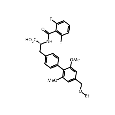 CCOCc1cc(OC)c(-c2ccc(C[C@H](NC(=O)c3c(F)cccc3F)C(=O)O)cc2)c(OC)c1